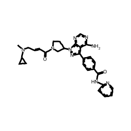 CN(C/C=C/C(=O)N1CCC(n2nc(-c3ccc(C(=O)Nc4ccccn4)cc3)c3c(N)ncnc32)C1)C1CC1